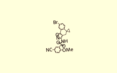 COc1ccc(C#N)cc1S(=O)(=O)Nc1noc2c1CC1(CC1)c1ccc(Br)cc1-2